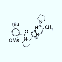 COc1ccc(C(C)(C)C)cc1C(=O)N1CCCCC1c1cc2nc(N3CCCC3)c(C)cn2n1